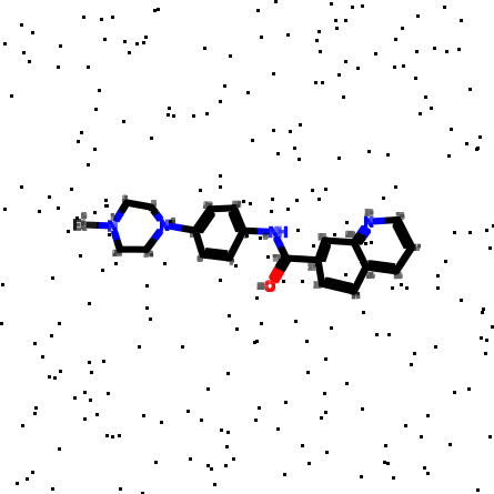 CCN1CCN(c2ccc(NC(=O)c3ccc4cccnc4c3)cc2)CC1